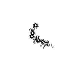 CC(C)C1CN(c2cnc(C(=O)N(C)C)cn2)CCN1C(=NC#N)Nc1cccc2c1CCN(C(=O)OCc1ccccc1)C2